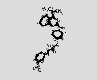 CN(C)c1nc(N[C@H]2CC[C@@H](CNC(=O)/C=C/c3cccc([N+](=O)[O-])c3)CC2)nc2c1CCCC2